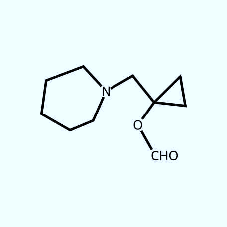 O=COC1(CN2CCCCC2)CC1